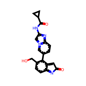 O=C1C=c2c(-c3ccc4nc(NC(=O)C5CC5)cn4c3)c(CO)ccc2=N1